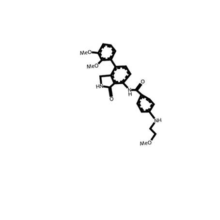 COCCNc1ccc(C(=O)Nc2ccc(-c3cccc(OC)c3OC)c3c2C(=O)NC3)cc1